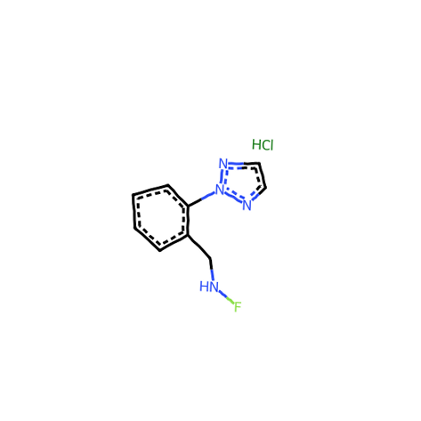 Cl.FNCc1ccccc1-n1nccn1